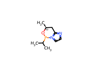 CC(C)P1O[C@@H](C)Cc2nccn21